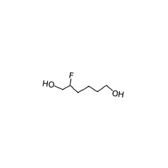 OCCCCC(F)CO